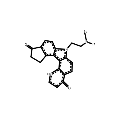 CCN(CC)CCn1c2ccc3c(c2c2c4[nH]ccc(=O)c4ccc21)CCC3=O